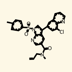 C=CCN(C)C(=O)c1cnc2c(c1)c(-c1cc(Cl)c3ncccc3c1)cn2S(=O)(=O)c1ccc(C)cc1